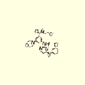 COCCN(C)C(=O)c1cc(Nc2nccc(N(C)c3cccc(Cl)c3)n2)cc(N2CCOCC2)c1